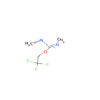 C=N/C(=N\C)OCC(F)(F)F